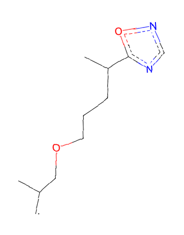 [CH2]C(C)COCCCC(C)c1ncno1